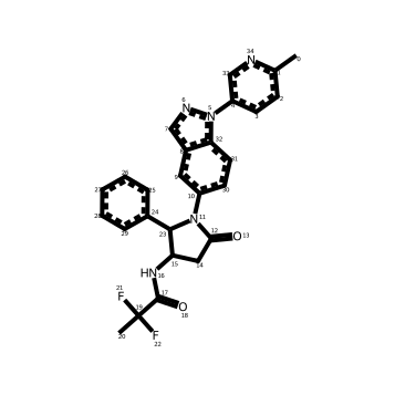 Cc1ccc(-n2ncc3cc(N4C(=O)CC(NC(=O)C(C)(F)F)C4c4ccccc4)ccc32)cn1